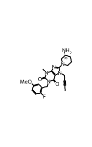 CC#CCn1c(N2CCC[C@@H](N)C2)nc2c1c(=O)n(Cc1cc(OC)ccc1F)c(=O)n2C